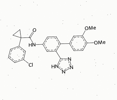 COc1ccc(-c2ccc(NC(=O)C3(c4cccc(Cl)c4)CC3)cc2-c2nnn[nH]2)cc1OC